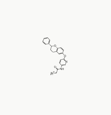 [CH2][C@H](C)CC(=O)Nc1ccc(Oc2ccc3c(c2)CCC(c2ccccc2)O3)nc1